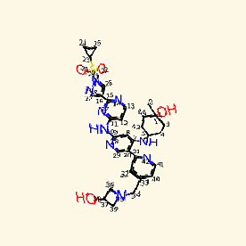 CC1(O)CCC(Nc2cc(Nc3ccnc(-c4cnn(S(=O)(=O)C5CC5)c4)n3)ncc2-c2cc(CN3CC(O)C3)ccn2)CC1